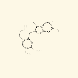 COc1cc2c(cc1OC)C(c1sc3cc(CF)ccc3c1Cl)NCC2